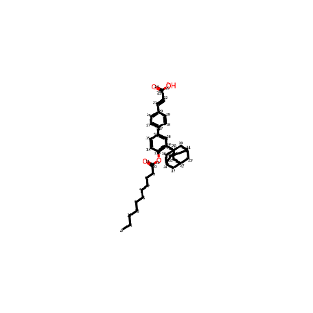 CCCCCCCCCCC(=O)Oc1ccc(-c2ccc(C=CC(=O)O)cc2)cc1C12CC3CC(CC(C3)C1)C2